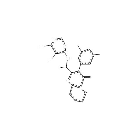 C[C@@H](Nc1ncnc(N)c1C#N)c1nc2ccccn2c(=O)c1-c1cc(F)cc(F)c1